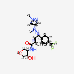 CN(/N=C(\C=C(/C=O)C(=O)NC1COCC1O)c1ccc(C(F)F)cc1)c1cnn(C)c1